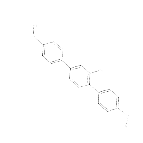 CCOc1ccc(-c2ccc(-c3ccc(OCC)cc3)c(Br)c2)cc1